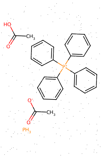 CC(=O)O.CC(=O)[O-].P.c1ccc([P+](c2ccccc2)(c2ccccc2)c2ccccc2)cc1